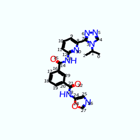 CC(C)n1cnnc1-c1cccc(NC(=O)c2cccc(C(=O)Nc3cnco3)c2)n1